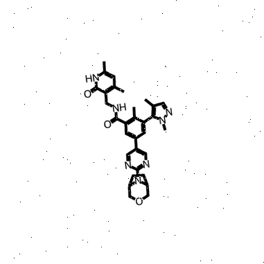 Cc1cc(C)c(CNC(=O)c2cc(-c3cnc(N4C5CCC4COC5)nc3)cc(-c3c(C)cnn3C)c2C)c(=O)[nH]1